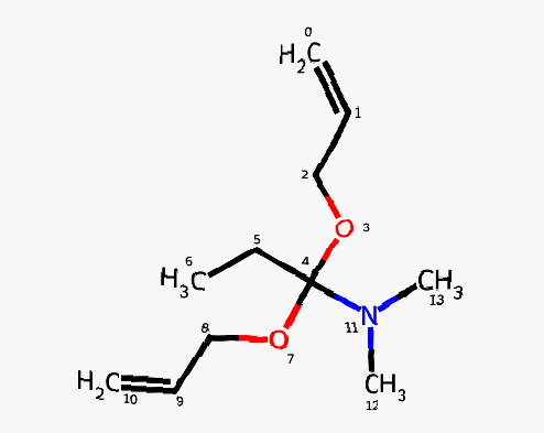 C=CCOC(CC)(OCC=C)N(C)C